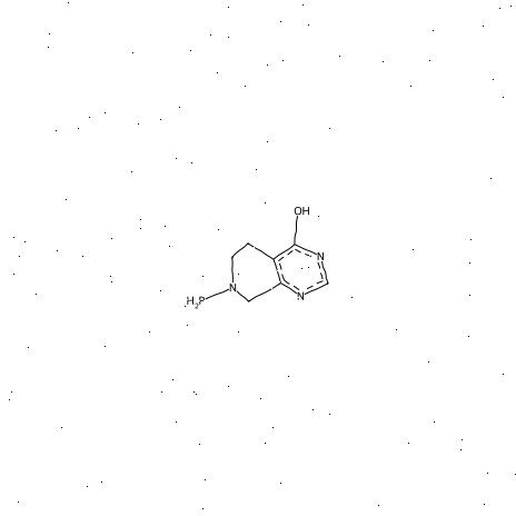 Oc1ncnc2c1CCN(P)C2